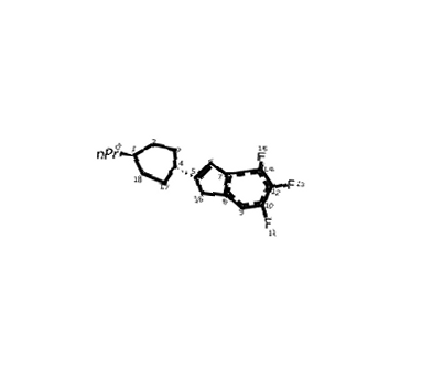 CCC[C@H]1CC[C@H](C2=Cc3c(cc(F)c(F)c3F)C2)CC1